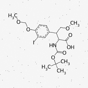 COCOc1ccc(C(COC)C(NC(=O)OC(C)(C)C)C(=O)O)cc1I